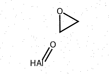 C1CO1.[O]=[AlH]